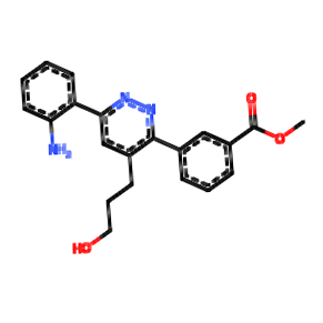 COC(=O)c1cccc(-c2nnc(-c3ccccc3N)cc2CCCO)c1